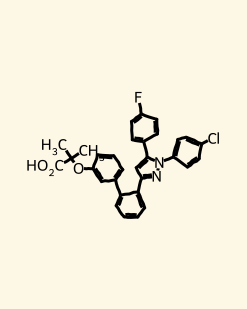 CC(C)(Oc1cccc(-c2ccccc2-c2cc(-c3ccc(F)cc3)n(-c3ccc(Cl)cc3)n2)c1)C(=O)O